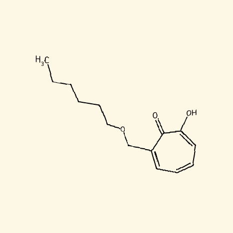 CCCCCCOCc1ccccc(O)c1=O